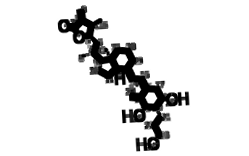 C=C1C(=O)O[C@H](C[C@@H](C)[C@H]2CC[C@H]3/C(=C/C=C4/C[C@@H](O)[C@H](CCCO)[C@H](O)C4=C)CCC[C@]23C)[C@@H]1C